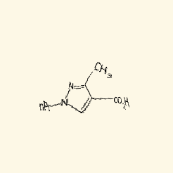 CCCn1cc(C(=O)O)c(C)n1